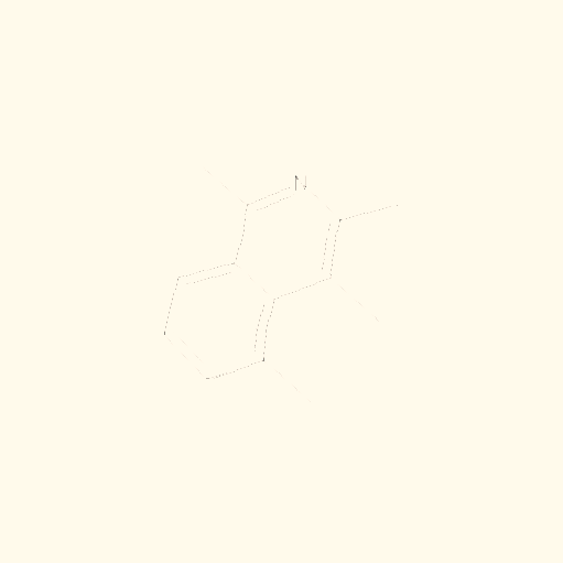 Cc1nc(C)c2cccc(C)c2c1C